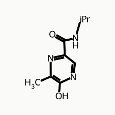 Cc1nc(C(=O)NC(C)C)cnc1O